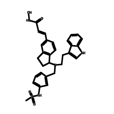 CS(=O)(=O)Nc1cccc(CN(CCc2c[nH]c3ccccc23)C2CCc3cc(C=CC(=O)NO)ccc32)c1